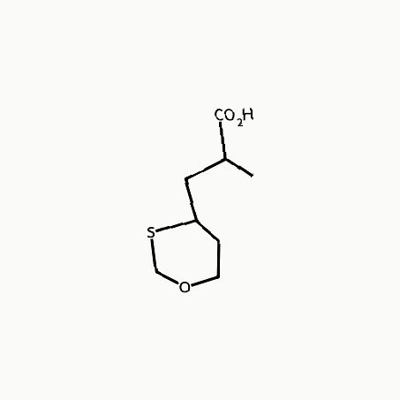 CC(CC1CCOCS1)C(=O)O